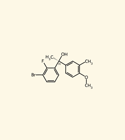 COc1ccc([C@](C)(O)c2cccc(Br)c2F)cc1C